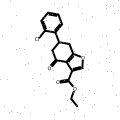 CCOC(=O)c1coc2c1C(=O)CC(c1ccccc1Cl)C2